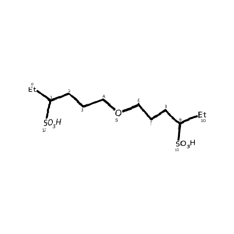 CCC(CCCOCCCC(CC)S(=O)(=O)O)S(=O)(=O)O